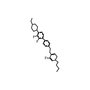 CCCCC1C=C(F)C(CCc2ccc(-c3ccc(C4CCC(CC)CC4)c(F)c3F)cc2)=CC1